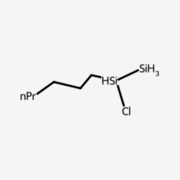 CCCCCC[SiH]([SiH3])Cl